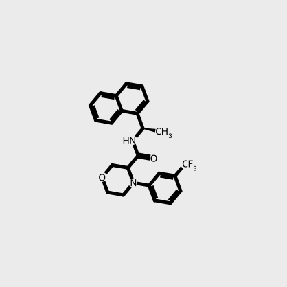 C[C@@H](NC(=O)C1COCCN1c1cccc(C(F)(F)F)c1)c1cccc2ccccc12